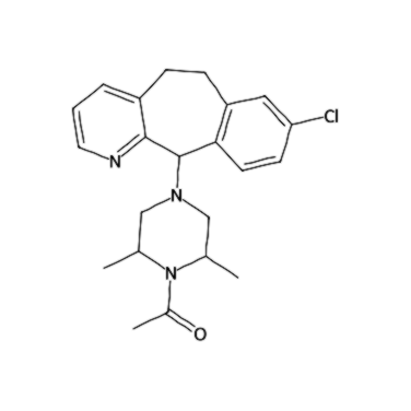 CC(=O)N1C(C)CN(C2c3ccc(Cl)cc3CCc3cccnc32)CC1C